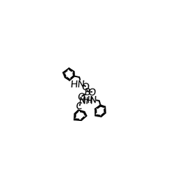 c1ccc(CNOB(ONCc2ccccc2)ONCc2ccccc2)cc1